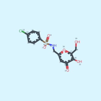 O=c1cc(CNS(=O)(=O)c2ccc(Cl)cc2)oc(CO)c1O